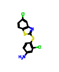 Nc1c[c]c(Sc2nc3cc(Cl)ccc3s2)c(Cl)c1